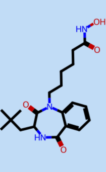 CC(C)(C)CC1NC(=O)c2ccccc2N(CCCCCC(=O)NO)C1=O